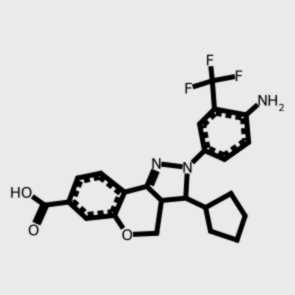 Nc1ccc(N2N=C3c4ccc(C(=O)O)cc4OCC3C2C2CCCC2)cc1C(F)(F)F